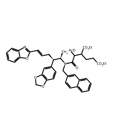 CCOC(=O)CCC(C(=O)OCC)C(OC(C)=O)C(=O)N(Cc1ccc2ccccc2c1)[C@H](C)[C@H](CC=Cc1nc2ccccc2o1)c1ccc2c(c1)OCO2